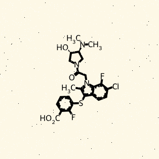 Cc1c(Sc2cccc(C(=O)O)c2F)c2ccc(Cl)c(F)c2n1CC(=O)N1C[C@H](O)[C@@H](N(C)C)C1